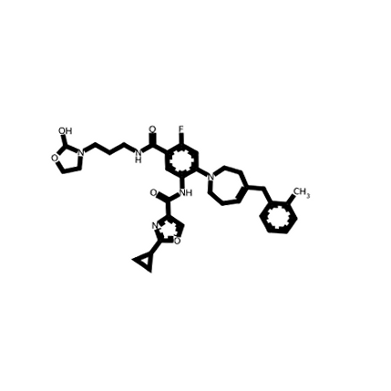 Cc1ccccc1CC1=CCCN(c2cc(F)c(C(=O)NCCCN3CCOC3O)cc2NC(=O)c2coc(C3CC3)n2)CC1